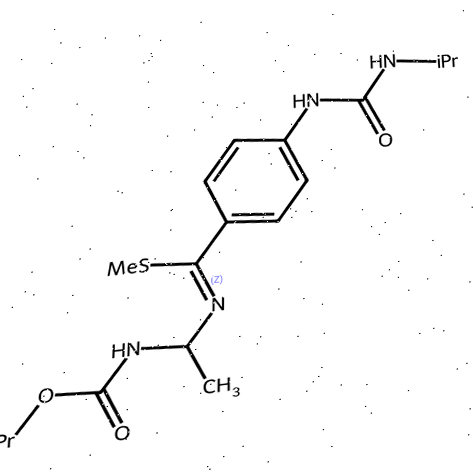 CS/C(=N\C(C)NC(=O)OC(C)C)c1ccc(NC(=O)NC(C)C)cc1